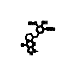 COc1cc(CC2CCCn3c2nc2c(cnn2C)c3=O)cc(OC)c1O